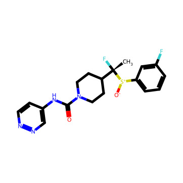 C[C@](F)(C1CCN(C(=O)Nc2ccnnc2)CC1)[S+]([O-])c1cccc(F)c1